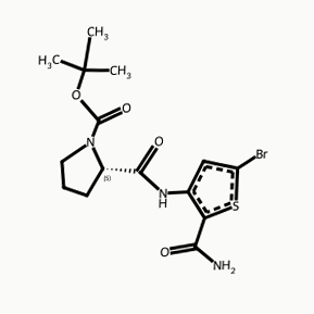 CC(C)(C)OC(=O)N1CCC[C@H]1C(=O)Nc1cc(Br)sc1C(N)=O